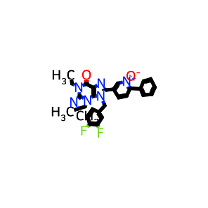 CCN1C(=O)c2nc(-c3ccc(-c4ccccc4)[n+]([O-])c3)n(Cc3ccc(F)c(F)c3)c2N2CC(C)(C)N=C12